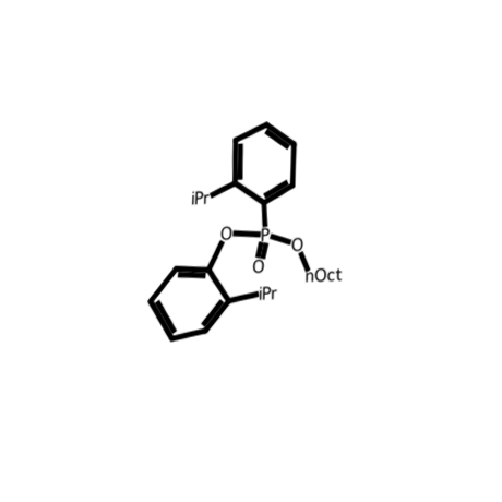 CCCCCCCCOP(=O)(Oc1ccccc1C(C)C)c1ccccc1C(C)C